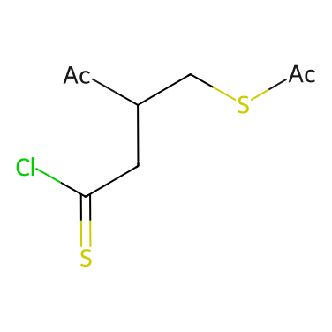 CC(=O)SCC(CC(=S)Cl)C(C)=O